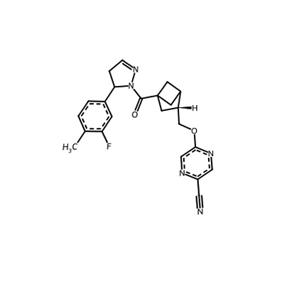 Cc1ccc(C2CC=NN2C(=O)C23CC(C2)[C@H](COc2cnc(C#N)cn2)C3)cc1F